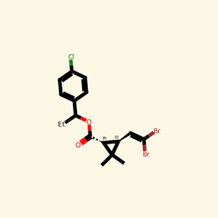 CCC(OC(=O)[C@@H]1[C@@H](C=C(Br)Br)C1(C)C)c1ccc(Cl)cc1